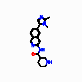 Cc1ncc(-c2ccc3cnc(NC(=O)C4CCCNC4)cc3c2)n1C